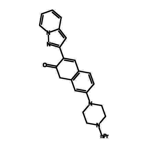 CCCN1CCN(c2ccc3c(c2)CC(=O)C(c2cc4ccccn4n2)=C3)CC1